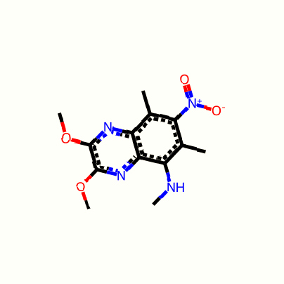 CNc1c(C)c([N+](=O)[O-])c(C)c2nc(OC)c(OC)nc12